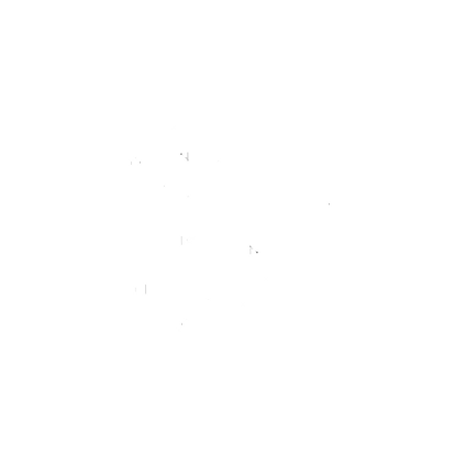 COCN1CCC(C)CC1CCC1CCCCN1S(=O)(=O)c1cccc(Cl)c1Br